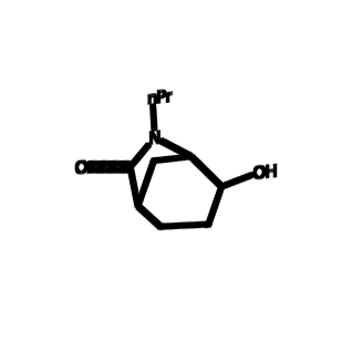 CCCN1C(=O)C2CCC(O)C1C2